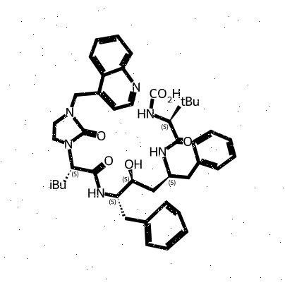 CCC(C)[C@@H](C(=O)N[C@@H](Cc1ccccc1)[C@@H](O)C[C@H](Cc1ccccc1)NC(=O)[C@@H](NC(=O)O)C(C)(C)C)N1CCN(Cc2ccnc3ccccc23)C1=O